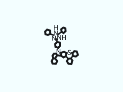 c1ccc(C2=NC(c3ccc(-n4c5cc6c(cc5c5c7ccccc7ccc54)-c4ccccc4-c4ccccc4S6)cc3)NC(c3ccccc3)N2)cc1